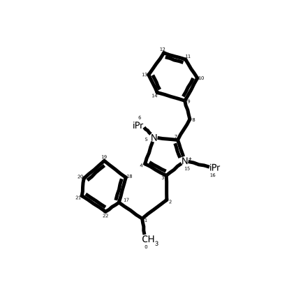 CC(Cc1cn(C(C)C)c(Cc2ccccc2)[n+]1C(C)C)c1ccccc1